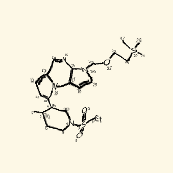 CCS(=O)(=O)N1CC[C@@H](C)[C@@H](c2ccc3cnc4c(ccn4COCC[Si](C)(C)C)n23)C1